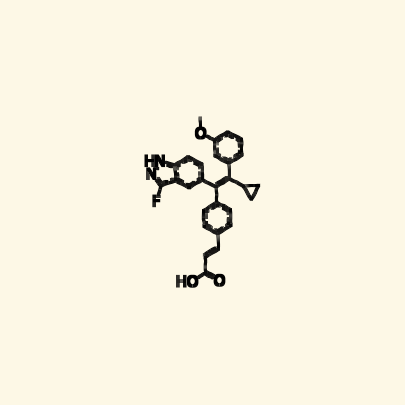 COc1cccc(C(=C(c2ccc(C=CC(=O)O)cc2)c2ccc3[nH]nc(F)c3c2)C2CC2)c1